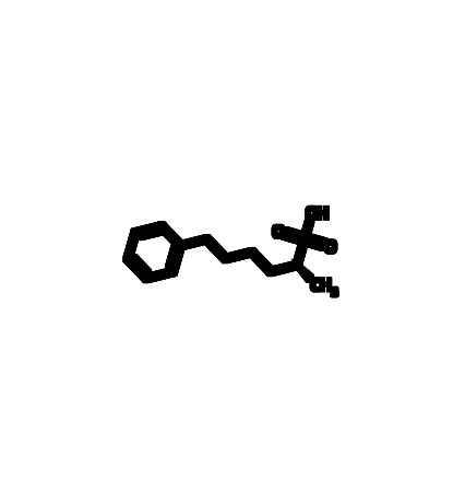 C[C@@H](CCCCc1ccccc1)S(=O)(=O)O